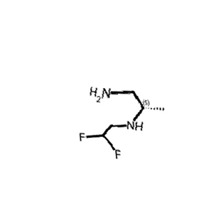 C[C@@H](CN)NCC(F)F